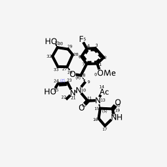 COc1ccc(F)cc1[C@H](CN(C(=O)N(C(C)=O)[C@H]1CCNC1=O)N(C)/C=C\O)O[C@H]1CC[C@@H](O)CC1